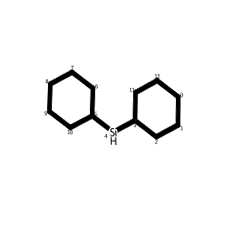 C1CCC([SiH]C2CCCCC2)CC1